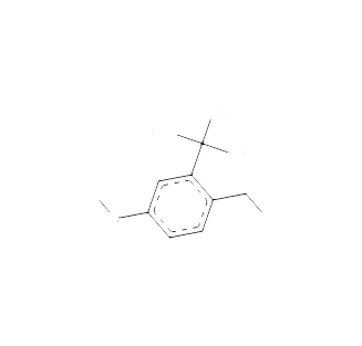 CCc1ccc(NC)cc1C(C)(C)C